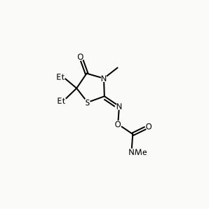 CCC1(CC)SC(=NOC(=O)NC)N(C)C1=O